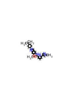 COc1cc2nn([C@H]3CC[C@H](C(C)C)CC3)cc2cc1NC(=O)c1cccc(-c2cnn(C)c2)n1